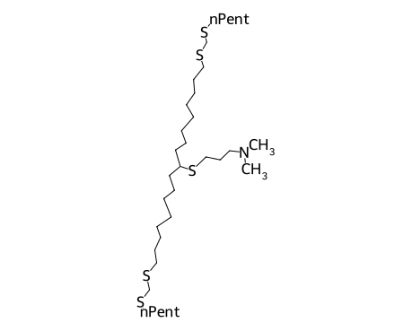 CCCCCSCSCCCCCCCCC(CCCCCCCCSCSCCCCC)SCCCN(C)C